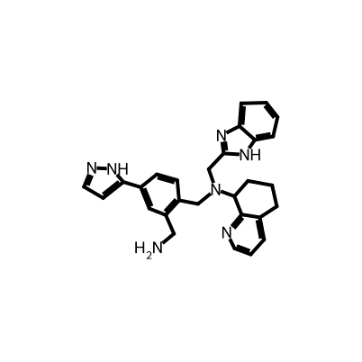 NCc1cc(-c2ccn[nH]2)ccc1CN(Cc1nc2ccccc2[nH]1)C1CCCc2cccnc21